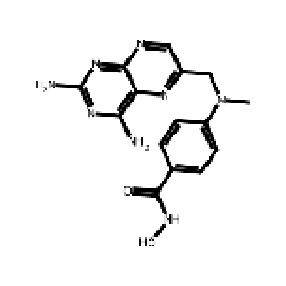 CN(Cc1cnc2nc(N)nc(N)c2n1)c1ccc(C(=O)NO)cc1